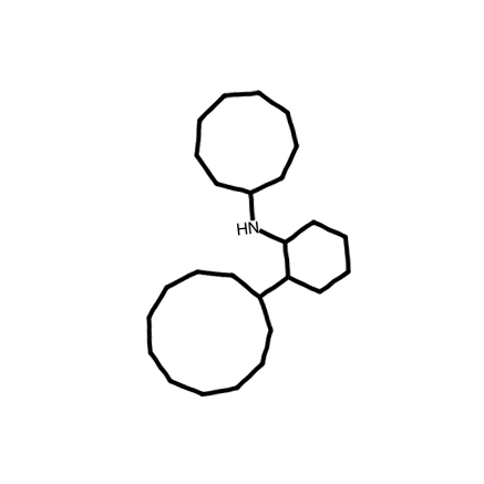 C1CCCCCC(C2CCCCC2NC2CCCCCCCC2)CCCC1